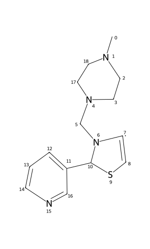 CN1CCN(CN2[C]=CSC2c2cccnc2)CC1